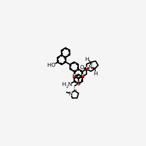 CN1CCC[C@H]1COc1nc(N2C[C@H]3CC[C@@H](C2)N3C(=O)Cc2ccc(N)cc2)c2ccc(-c3cc(O)cc4ccccc34)cc2n1